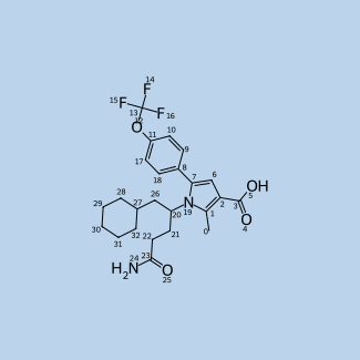 Cc1c(C(=O)O)cc(-c2ccc(OC(F)(F)F)cc2)n1C(CCC(N)=O)CC1CCCCC1